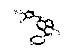 Cc1ccc(Nc2ncc(C(=O)N3CCOCC3)c3c(C)cccc23)cc1Cl